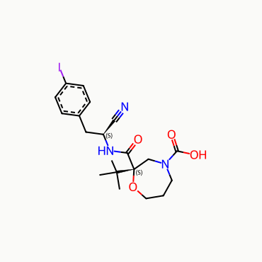 CC(C)(C)[C@@]1(C(=O)N[C@H](C#N)Cc2ccc(I)cc2)CN(C(=O)O)CCCO1